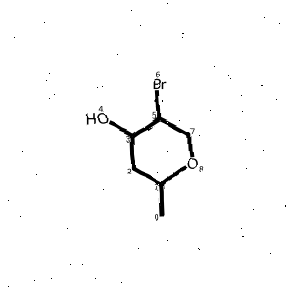 CC1CC(O)C(Br)CO1